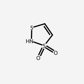 O=S1(=O)C=CSN1